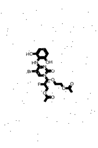 CC(=O)OCCO[C@H](C(F)COC(C)=O)n1cc(Br)c(Nc2c(O)cccc2O)nc1=O